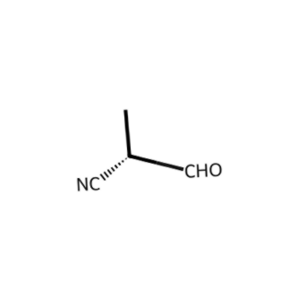 C[C@@H](C#N)C=O